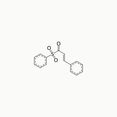 O=C(C=Cc1ccccc1)S(=O)(=O)c1ccccc1